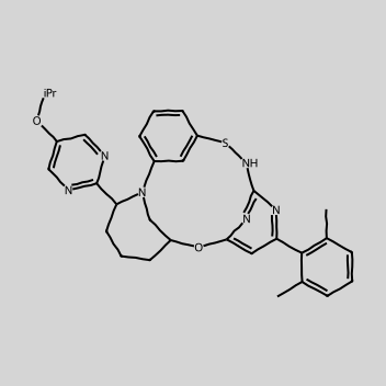 Cc1cccc(C)c1-c1cc2nc(n1)NSc1cccc(c1)N1CC(CCCC1c1ncc(OC(C)C)cn1)O2